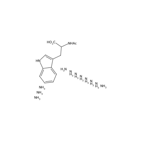 CC(=O)NC(Cc1c[nH]c2ccccc12)C(=O)O.N.N.N.N.N.N.N.N.N.N.N